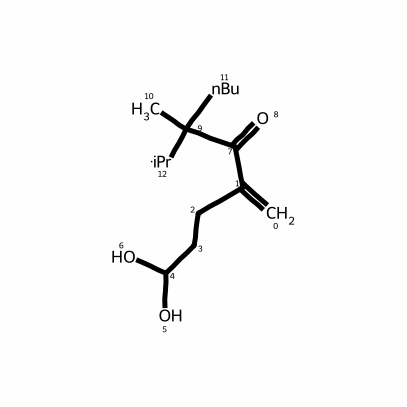 C=C(CCC(O)O)C(=O)C(C)(CCCC)[C](C)C